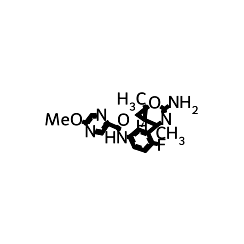 COc1cnc(C(=O)Nc2ccc(F)c([C@]3(C)N=C(N)OC4(C)C[C@@H]43)c2)cn1